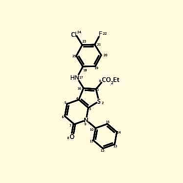 CCOC(=O)c1sc2c(ccc(=O)n2-c2ccccc2)c1Nc1ccc(F)c(Cl)c1